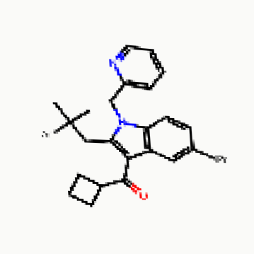 CC(=O)C(C)(C)Cc1c(C(=O)C2CCC2)c2cc(C(C)C)ccc2n1Cc1ccccn1